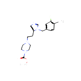 CCCCOC(=O)N1CCN(CCc2cncn2Cc2ccc(C#N)c(F)c2)CC1